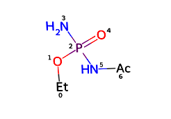 CCOP(N)(=O)NC(C)=O